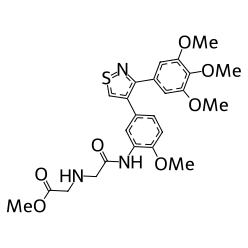 COC(=O)CNCC(=O)Nc1cc(-c2csnc2-c2cc(OC)c(OC)c(OC)c2)ccc1OC